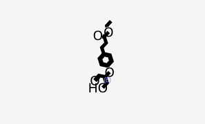 CCOC(=O)CCc1ccc(O/C(C=O)=C/O)cc1